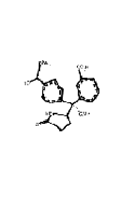 CCCCCC(O)c1ccc([C@@](OC)(c2cccc(C(=O)O)c2)C2CCC(=O)N2)cc1